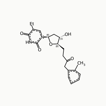 CCc1cn([C@H]2C[C@H](O)[C@@H](CCC(=O)Cc3ccccc3C)O2)c(=O)[nH]c1=O